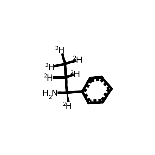 [2H]C([2H])([2H])C([2H])([2H])[C@@]([2H])(N)c1ccccc1